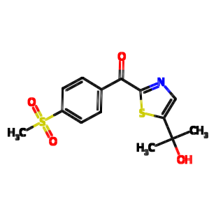 CC(C)(O)c1cnc(C(=O)c2ccc(S(C)(=O)=O)cc2)s1